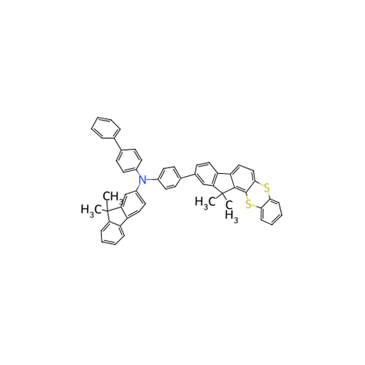 CC1(C)c2ccccc2-c2ccc(N(c3ccc(-c4ccccc4)cc3)c3ccc(-c4ccc5c(c4)C(C)(C)c4c-5ccc5c4Sc4ccccc4S5)cc3)cc21